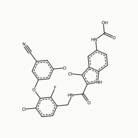 N#Cc1cc(Cl)cc(Oc2c(Cl)ccc(CNC(=O)c3[nH]c4ccc(NC(=O)O)cc4c3Cl)c2F)c1